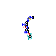 O=C(c1cc2cc(/N=N/c3cnc(N4CCCC4)s3)ccc2[nH]1)N1CCc2c1ccc1[nH]c(COc3c(F)c(F)c(F)c(F)c3F)cc21